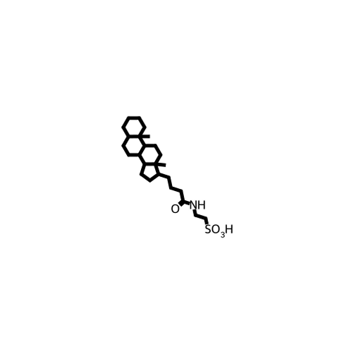 CC12CCCCC1CCC1C2CCC2(C)C(CCCC(=O)NCCS(=O)(=O)O)CCC12